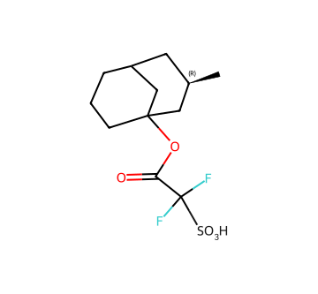 C[C@@H]1CC2CCCC(OC(=O)C(F)(F)S(=O)(=O)O)(C2)C1